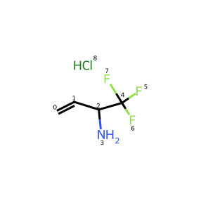 C=CC(N)C(F)(F)F.Cl